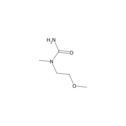 COCCN(C)C(N)=O